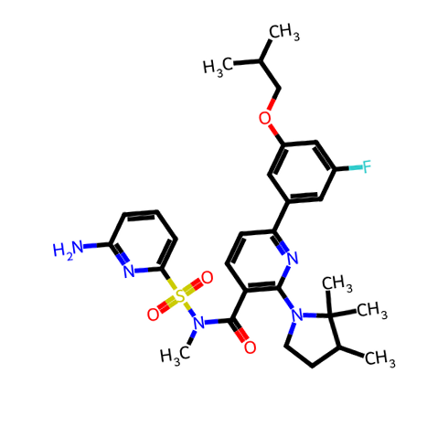 CC(C)COc1cc(F)cc(-c2ccc(C(=O)N(C)S(=O)(=O)c3cccc(N)n3)c(N3CCC(C)C3(C)C)n2)c1